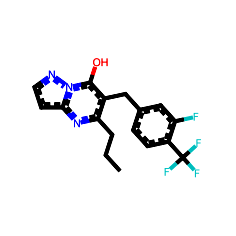 CCCc1nc2ccnn2c(O)c1Cc1ccc(C(F)(F)F)c(F)c1